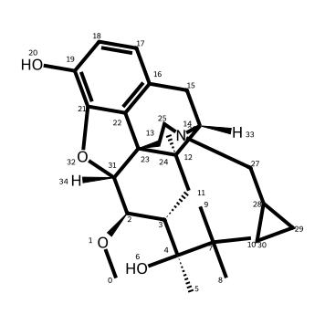 CO[C@@H]1[C@@H]([C@](C)(O)C(C)(C)C)C[C@]2(C)[C@H]3Cc4ccc(O)c5c4[C@@]2(CCN3CC2CC2)[C@H]1O5